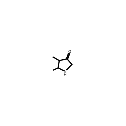 CC1N[CH]C(=O)C1C